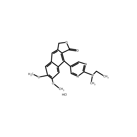 CCN(C)c1ncc(-c2c3c(cc4cc(OC)c(OC)cc24)COC3=O)cn1.Cl